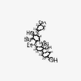 CCC(c1ccc(-c2ccc(O)cc2)c(O)c1C(C)(C)C)c1ccc(-c2ccc(O)cc2)c(O)c1C(C)(C)C